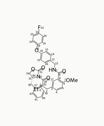 CC[C@@H](Cc1ccc(OC)c(C(=O)NCc2ccc(Oc3ccc(F)cc3)cc2)c1)C(=O)N1C(=O)OC[C@H]1Cc1ccccc1